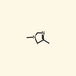 CC1=NCN(C)[CH]1